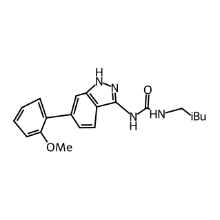 CCC(C)CNC(=O)Nc1n[nH]c2cc(-c3ccccc3OC)ccc12